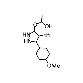 COC1CCC(C2NNC(OC(C)O)C2C(C)C)CC1